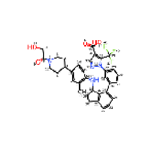 Cc1cc(C2CCN(C(=O)CO)CC2)ccc1NC1CCc2cccc(-c3cccc(-n4ncc(C(=O)O)c4C(F)(F)F)c3)c21